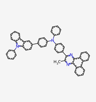 Cc1nc2c3ccccc3c3ccccc3c2nc1-c1ccc(N(c2ccccc2)c2ccc(-c3ccc4c(c3)c3ccccc3n4-c3ccccc3)cc2)cc1